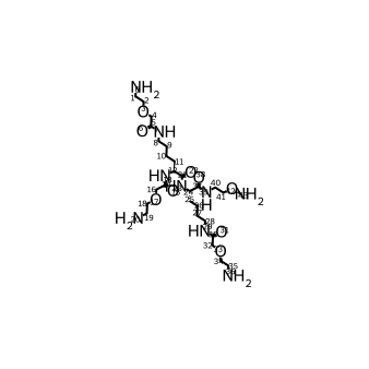 NCCOCC(=O)NCCCC[C@H](NC(=O)COCCN)C(=O)N[C@@H](CCCCNC(=O)COCCN)C(=O)NCCON